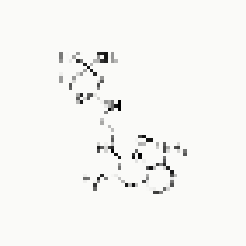 COc1c(N)cccc1C[C@H](C)CNCCNC(=O)OC(C)(C)C